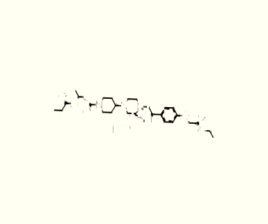 CCOC(=O)COc1ccc(C(=O)CN2CCN(C3CCN(C(=O)OC(C)OC(=O)CC)CC3)CC2=O)cc1.Cl